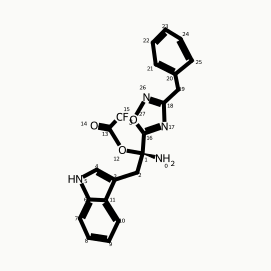 N[C@@](Cc1c[nH]c2ccccc12)(OC(=O)C(F)(F)F)c1nc(Cc2ccccc2)no1